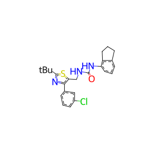 CC(C)(C)c1nc(-c2cccc(Cl)c2)c(CNC(=O)Nc2cccc3c2CCC3)s1